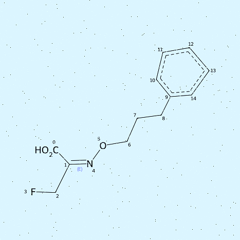 O=C(O)/C(CF)=N\OCCCc1ccccc1